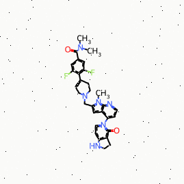 CN(C)C(=O)c1cc(F)c(C2=CCN(Cc3cc4c(-n5ccc6c(c5=O)CCN6)ccnc4n3C)CC2)c(F)c1